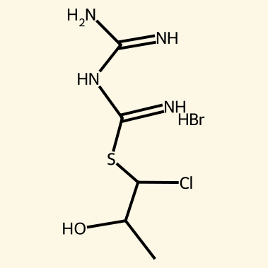 Br.CC(O)C(Cl)SC(=N)NC(=N)N